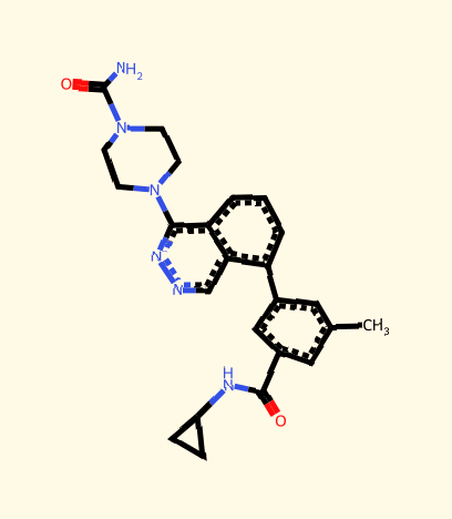 Cc1cc(C(=O)NC2CC2)cc(-c2cccc3c(N4CCN(C(N)=O)CC4)nncc23)c1